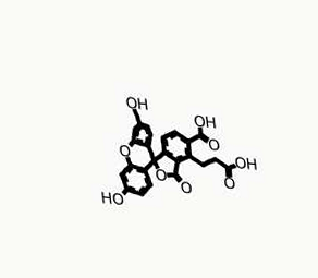 O=C(O)CCc1c(C(=O)O)ccc2c1C(=O)OC21c2ccc(O)cc2Oc2cc(O)ccc21